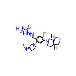 CN(C)[C@@H]1CCN(c2cc(N3CC[C@@H]4CCCC[C@@H]4C3)c(F)cc2C=NNC(N)=S)C1